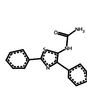 NC(=O)Nc1sc(-c2ccccc2)nc1-c1ccccc1